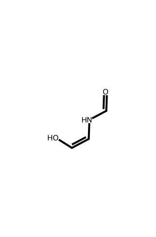 O=CN/C=C\O